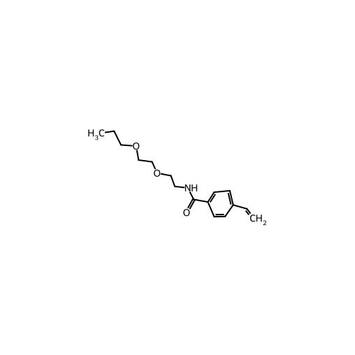 C=Cc1ccc(C(=O)NCCOCCOCCC)cc1